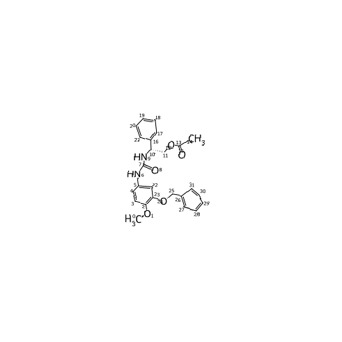 COc1ccc(NC(=O)N[C@@H](COC(C)=O)c2ccccc2)cc1OCc1ccccc1